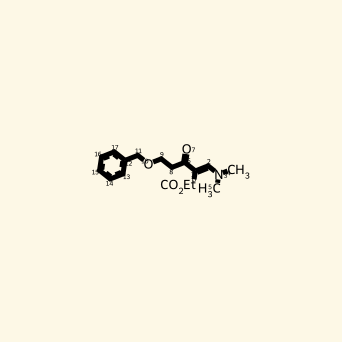 CCOC(=O)/C(=C\N(C)C)C(=O)CCOCc1ccccc1